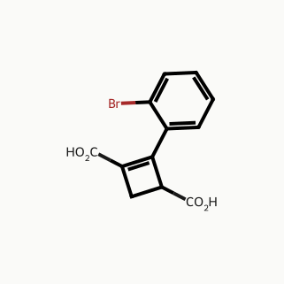 O=C(O)C1=C(c2ccccc2Br)C(C(=O)O)C1